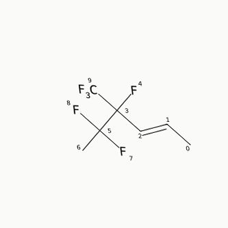 C/C=C/C(F)(C(C)(F)F)C(F)(F)F